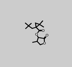 CC1COC(=O)C1OC(=O)C1(CC(C)(C)C)CC1(C)C